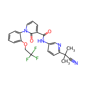 CC(C)(C#N)c1ccc(NC(=O)c2cccn(-c3ccccc3OCC(F)(F)F)c2=O)cn1